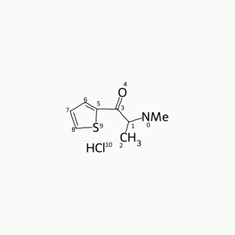 CNC(C)C(=O)c1cccs1.Cl